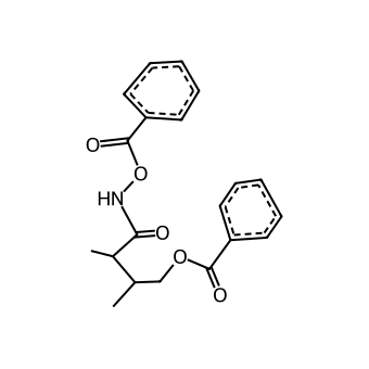 CC(COC(=O)c1ccccc1)C(C)C(=O)NOC(=O)c1ccccc1